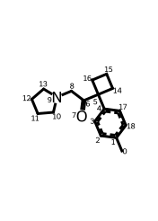 Cc1ccc(C2(C(=O)CN3CCCC3)CCC2)cc1